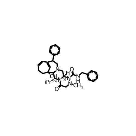 CC(C)[C@H]1C2N(CC(c3ccccc3)C3=CC2(C)CCC=C3)C[C@H]2N1C(=O)CN(C)N2C(=O)NCc1ccccc1